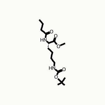 CCCC(=O)N[C@@H](CCCCNC(=O)OC(C)(C)C)C(=O)OC